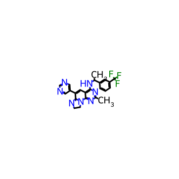 Cc1nc(NC(C)c2cccc(C(F)(F)F)c2)c2c(n1)N1CCN=C1C(c1cncnc1)=C2